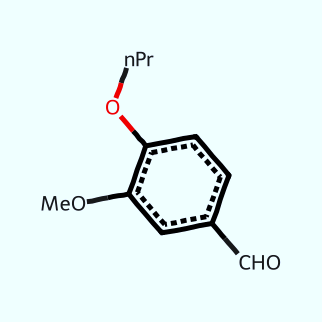 CCCOc1ccc(C=O)cc1OC